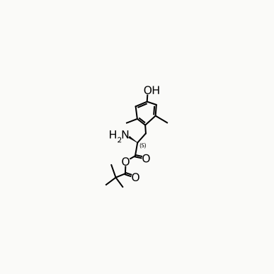 Cc1cc(O)cc(C)c1C[C@H](N)C(=O)OC(=O)C(C)(C)C